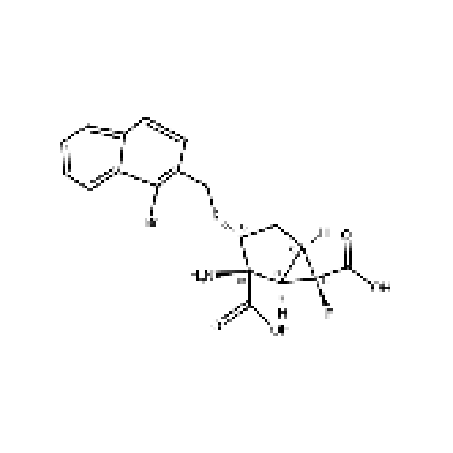 N[C@]1(C(=O)O)[C@H]2[C@@H](C[C@H]1SCc1ccc3ccccc3c1Br)[C@]2(F)C(=O)O